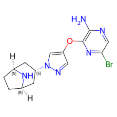 Nc1ncc(Br)nc1Oc1cnn([C@@H]2C[C@H]3CC[C@@H](C2)N3)c1